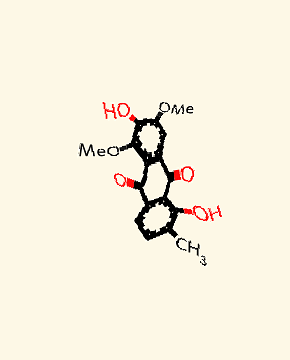 COc1cc2c(c(OC)c1O)C(=O)c1ccc(C)c(O)c1C2=O